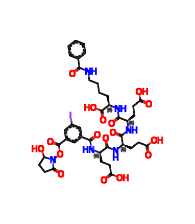 O=C(O)CC[C@@H](NC(=O)c1cc(I)cc(C(=O)ON2C(=O)CCC2O)c1)C(=O)N[C@H](CCC(=O)O)C(=O)N[C@H](CCC(=O)O)C(=O)N[C@H](CCCCNC(=O)c1ccccc1)C(=O)O